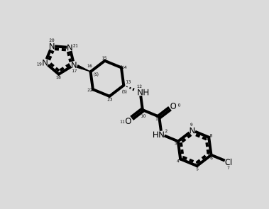 O=C(Nc1ccc(Cl)cn1)C(=O)N[C@H]1[CH]C[C@H](n2cnnn2)CC1